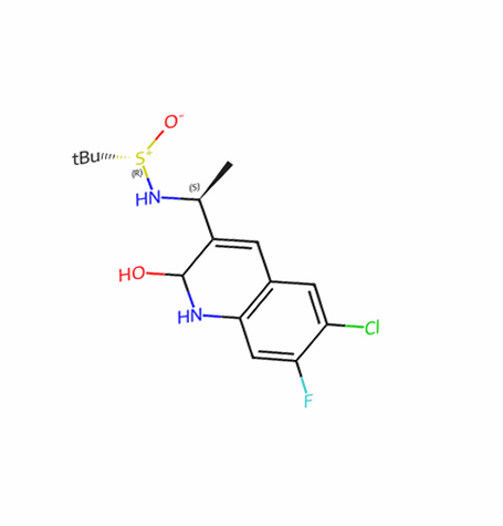 C[C@H](N[S@@+]([O-])C(C)(C)C)C1=Cc2cc(Cl)c(F)cc2NC1O